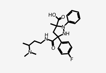 CC(CCNC(=O)C1(c2ccc(F)cc2)CC(C)(C(=O)O)N(c2ccccc2)N1)N(C)C